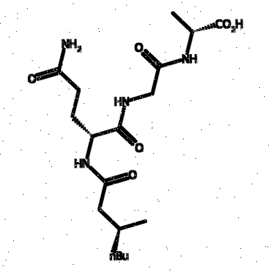 CCCC[C@H](C)CC(=O)N[C@H](CCC(N)=O)C(=O)NCC(=O)N[C@H](C)C(=O)O